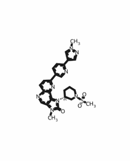 Cn1cc(-c2ccc(-c3ccc4ncc5c(c4n3)n([C@@H]3CCCN(S(C)(=O)=O)C3)c(=O)n5C)cn2)cn1